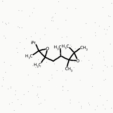 CC(CC1(C)OC1(C)C(C)C)C1(C)OC1(C)C